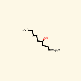 CCCCCCCCCCCCC(O)CCCS(=O)(=O)O